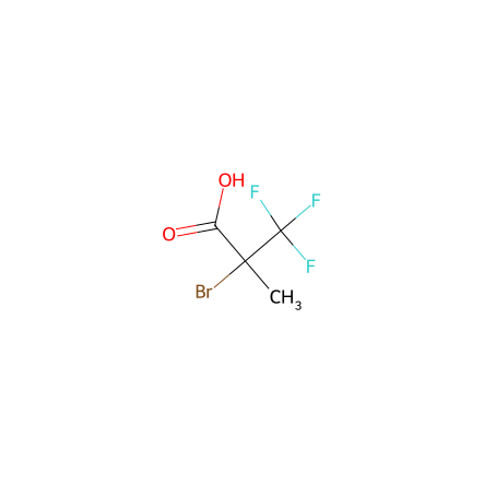 CC(Br)(C(=O)O)C(F)(F)F